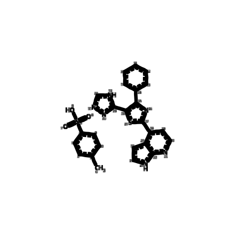 Cc1ccc(S(=O)(=O)O)cc1.c1ccc(-c2nc(-c3ccnc4[nH]ccc34)sc2-c2nnc[nH]2)cc1